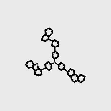 c1cc(-c2ccc(N(c3ccc(-c4ccc5c(ccc6ccccc65)c4)cc3)c3ccc(-c4cccc5c4oc4ccccc45)cc3)cc2)cc(-c2cccc3ccccc23)c1